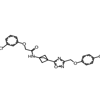 O=C(COc1cccc(Cl)c1)NC12CC(c3nc(COc4ccc(Cl)cc4)no3)(C1)C2